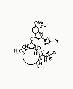 COc1ccc2c(O[C@H]3C[C@@H]4C(=O)N[C@]5(C(=O)NS(=O)(=O)C6CC6)C[C@H]5C(C)CCCCCN(C)C(=O)[C@H]4C3)cc(-c3nc(C(C)C)cs3)nc2c1C